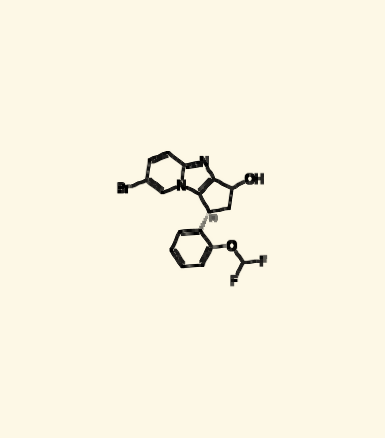 OC1C[C@H](c2ccccc2OC(F)F)c2c1nc1ccc(Br)cn21